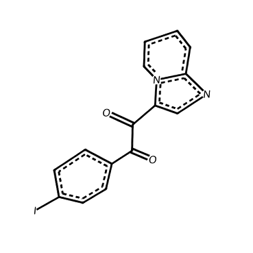 O=C(C(=O)c1cnc2ccccn12)c1ccc(I)cc1